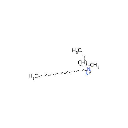 CCCCCCCCCCCCCCCCCCC(CCC)c1nccn1C(C)CCCCCCC